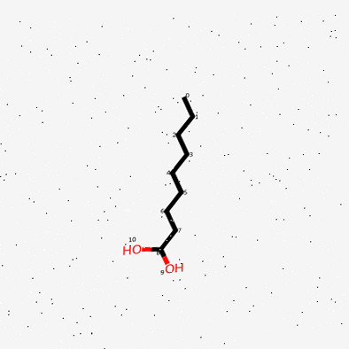 CCCCCCCCC(O)O